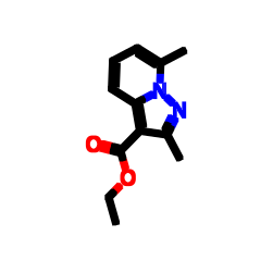 CCOC(=O)c1c(C)nn2c(C)cccc12